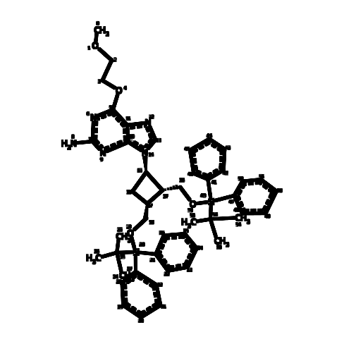 COCCOc1nc(N)nc2c1ncn2[C@@H]1C[C@H](CO[Si](c2ccccc2)(c2ccccc2)C(C)(C)C)[C@H]1CO[Si](c1ccccc1)(c1ccccc1)C(C)(C)C